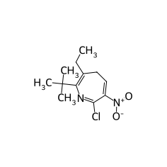 CCC1=C(C(C)(C)C)N=C(Cl)C([N+](=O)[O-])=CC1